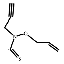 C#CCN([C]=S)OCC=C